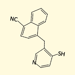 N#Cc1ccc(Cc2cnccc2S)c2ccccc12